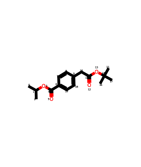 CC(C)OC(=O)c1ccc(CC(=O)OC(C)(C)C)cc1